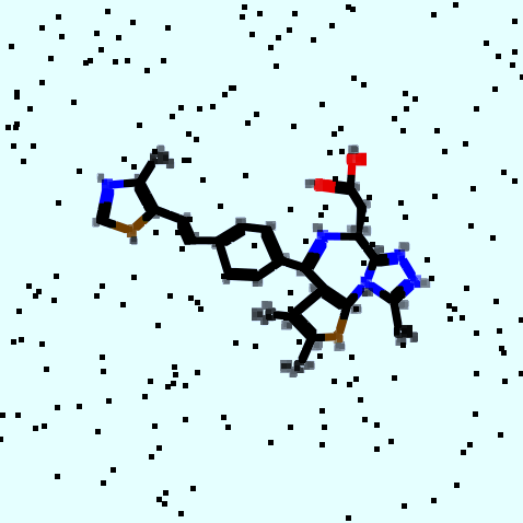 Cc1ncsc1C=Cc1ccc(C2=N[C@@H](CC(=O)O)c3nnc(C)n3-c3sc(C)c(C)c32)cc1